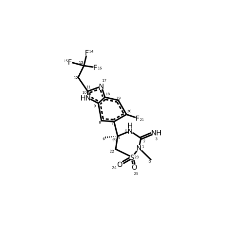 CN1C(=N)N[C@](C)(c2cc3[nH]c(CC(F)(F)F)nc3cc2F)CS1(=O)=O